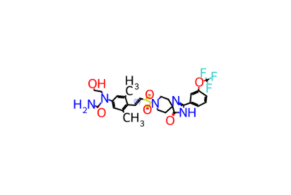 Cc1cc(N(CCO)C(N)=O)cc(C)c1/C=C/S(=O)(=O)N1CCC2(CC1)N=C(c1cccc(OC(F)(F)F)c1)NC2=O